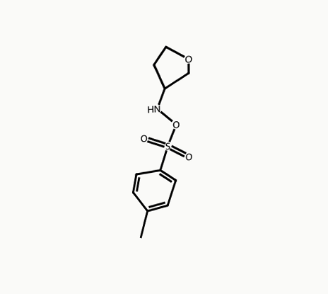 Cc1ccc(S(=O)(=O)ONC2CCOC2)cc1